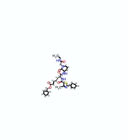 C=CNC(=O)Cn1cccc(NC(=O)C(CC/C=C/C(=O)OCc2ccccc2)NC(=O)c2sc(-c3ccccc3)nc2C)c1=O